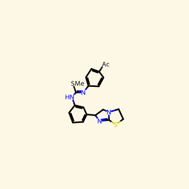 CSC(=Nc1ccc(C(C)=O)cc1)Nc1cccc(C2CN3CCSC3=N2)c1